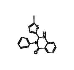 O=C1c2ccccc2NC(c2ccc(I)s2)N1c1ccccc1